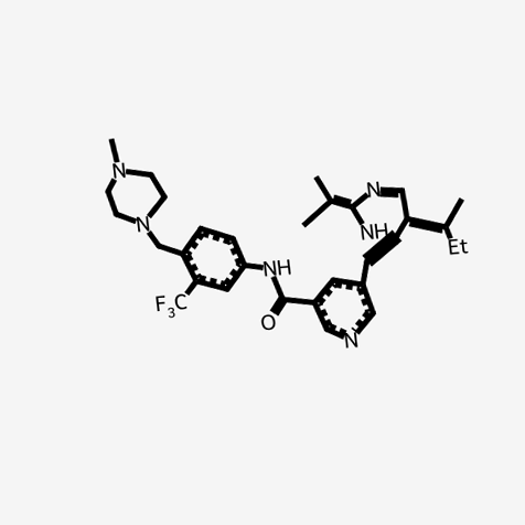 CC/C(C)=C(C#Cc1cncc(C(=O)Nc2ccc(CN3CCN(C)CC3)c(C(F)(F)F)c2)c1)/C=N\C(N)=C(C)C